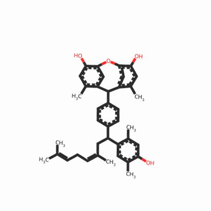 CC(C)=CC/C=C(/C)CC(c1ccc(C2c3cc(c(O)cc3C)Oc3cc2c(C)cc3O)cc1)c1cc(C)c(O)cc1C